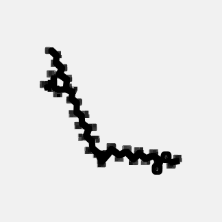 CCCCCCC(CCCCCCCCCCC1CC1CCCCCCCC(=O)OCC)CN(C)C